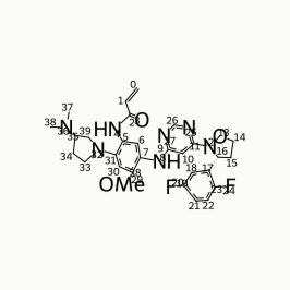 C=CC(=O)Nc1cc(Nc2cc(N3OCC[C@@H]3c3cc(F)ccc3F)ncn2)c(OC)cc1N1CC[C@@H](N(C)C)C1